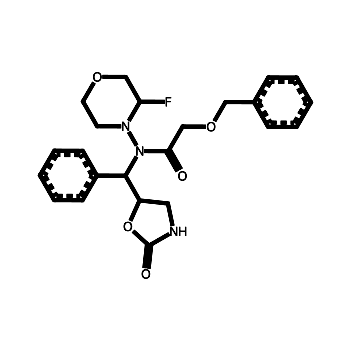 O=C1NCC(C(c2ccccc2)N(C(=O)COCc2ccccc2)N2CCOCC2F)O1